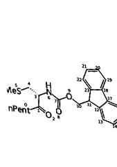 CCCCCC(=O)[C@H](CSC)NC(=O)OCC1c2ccccc2-c2ccccc21